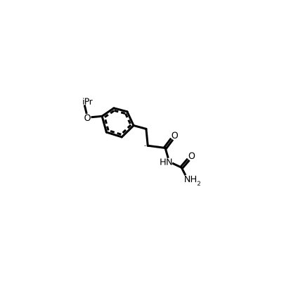 CC(C)Oc1ccc(C[CH]C(=O)NC(N)=O)cc1